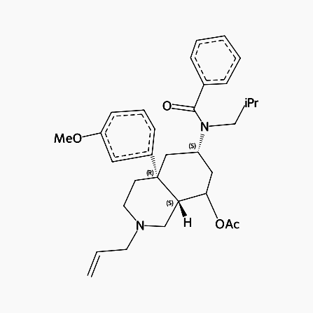 C=CCN1CC[C@@]2(c3cccc(OC)c3)C[C@H](N(CC(C)C)C(=O)c3ccccc3)CC(OC(C)=O)[C@@H]2C1